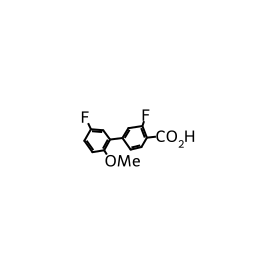 COc1ccc(F)cc1-c1ccc(C(=O)O)c(F)c1